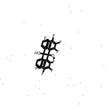 OC(c1ccccc1)(c1ccccc1)C(OF)(c1cc(F)c(F)c(F)c1F)c1c(F)c(F)c(F)c(F)c1F